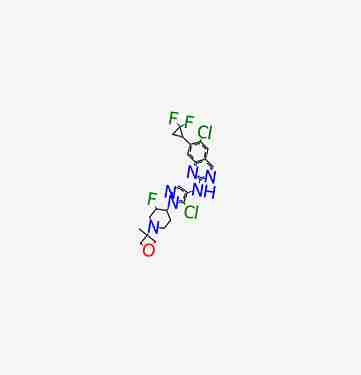 CC1(N2CCC(n3ncc(Nc4ncc5cc(Cl)c(C6CC6(F)F)cc5n4)c3Cl)C(F)C2)COC1